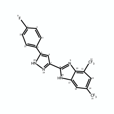 Fc1ccc(-c2cc(-c3nc4c(C(F)(F)F)cc(C(F)(F)F)cc4[nH]3)n[nH]2)cc1